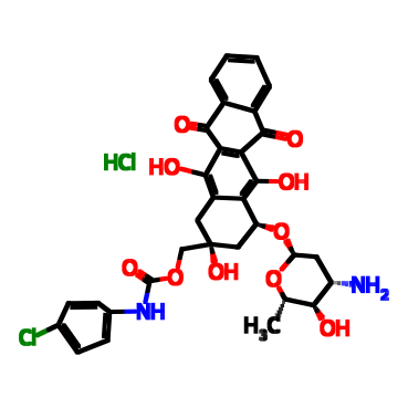 C[C@@H]1O[C@@H](O[C@H]2C[C@](O)(COC(=O)Nc3ccc(Cl)cc3)Cc3c(O)c4c(c(O)c32)C(=O)c2ccccc2C4=O)C[C@H](N)[C@H]1O.Cl